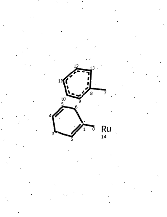 CC1=CCC=CC1.Cc1ccccc1.[Ru]